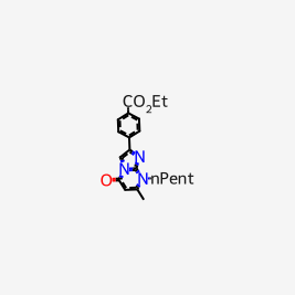 CCCCCn1c(C)cc(=O)n2cc(-c3ccc(C(=O)OCC)cc3)nc12